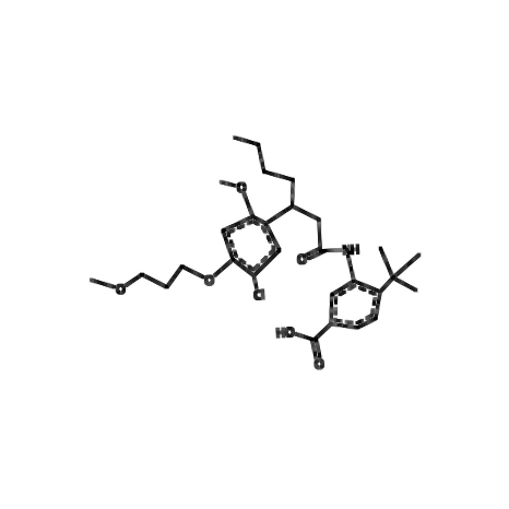 CCCCC(CC(=O)Nc1cc(C(=O)O)ccc1C(C)(C)C)c1cc(Cl)c(OCCCOC)cc1OC